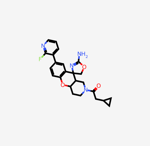 NC1=NC2(CO1)c1cc(-c3cccnc3F)ccc1OC1CCN(C(=O)CC3CC3)CC12